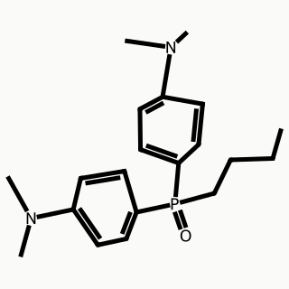 CCCCP(=O)(c1ccc(N(C)C)cc1)c1ccc(N(C)C)cc1